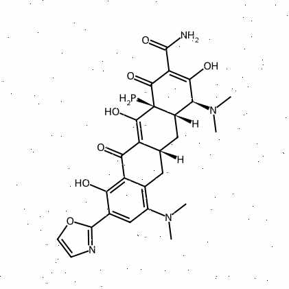 CN(C)c1cc(-c2ncco2)c(O)c2c1C[C@H]1C[C@H]3[C@H](N(C)C)C(O)=C(C(N)=O)C(=O)[C@@]3(P)C(O)=C1C2=O